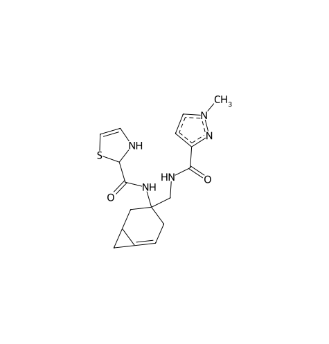 Cn1ccc(C(=O)NCC2(NC(=O)C3NC=CS3)CC=C3CC3C2)n1